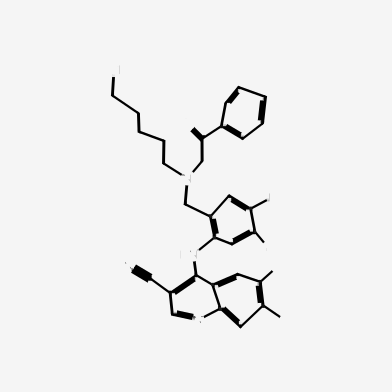 Cc1cc2ncc(C#N)c(Nc3cc(Cl)c(F)cc3CN(CCCCCCl)CC(=O)c3ccccc3)c2cc1C